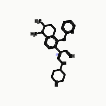 CC1CCc2c(ccc(/C(C=N)=C/NC3CCNCC3)c2Oc2ccccn2)N1C